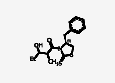 CCC(O)C(C)C(=O)N1C(=S)SC[C@@H]1Cc1ccccc1